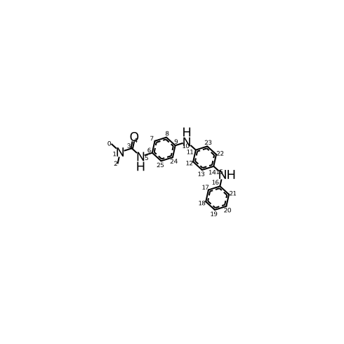 CN(C)C(=O)Nc1ccc(Nc2ccc(Nc3ccccc3)cc2)cc1